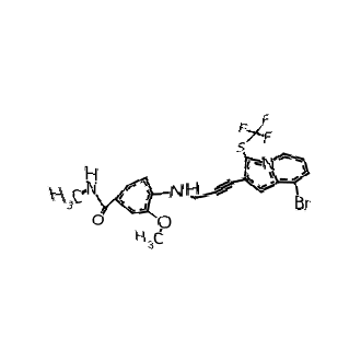 CNC(=O)c1ccc(NCC#Cc2cc3c(Br)cccn3c2SC(F)(F)F)c(OC)c1